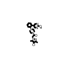 COc1ncc(-c2ccccc2N2CCN(C(=O)Cn3nc(C)c(Cl)c3C)CC2)cn1